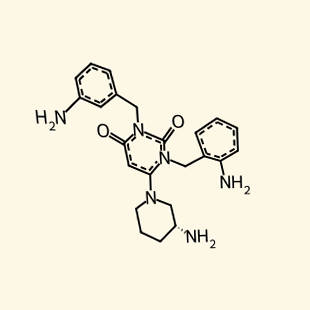 Nc1cccc(Cn2c(=O)cc(N3CCC[C@@H](N)C3)n(Cc3ccccc3N)c2=O)c1